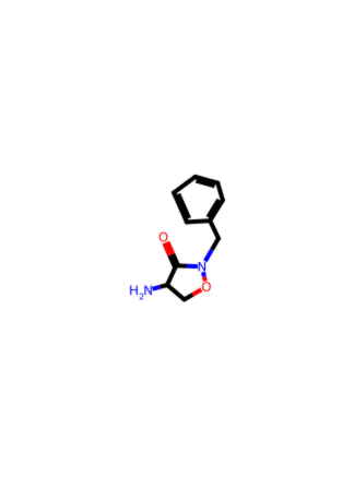 NC1CON(Cc2ccccc2)C1=O